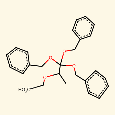 CC(OCC(=O)O)C(OCc1ccccc1)(OCc1ccccc1)OCc1ccccc1